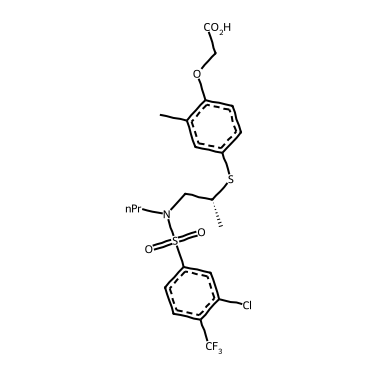 CCCN(C[C@@H](C)Sc1ccc(OCC(=O)O)c(C)c1)S(=O)(=O)c1ccc(C(F)(F)F)c(Cl)c1